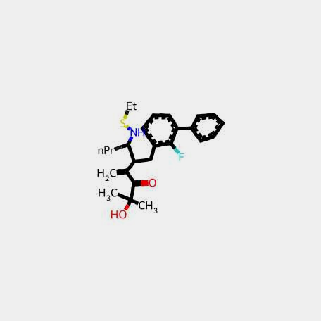 C=C(C(=O)C(C)(C)O)C(Cc1cccc(-c2ccccc2)c1F)C(CCC)NSCC